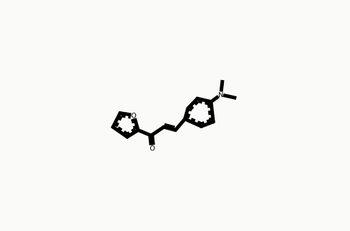 CN(C)c1ccc(/C=C/C(=O)c2ccco2)cc1